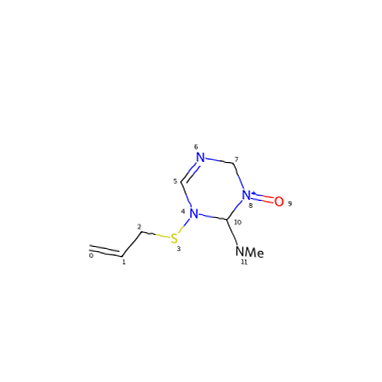 C=CCSN1C=NC[N+](=O)C1NC